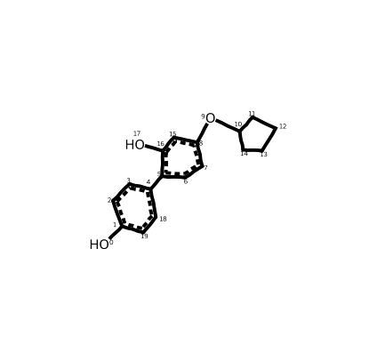 Oc1[c]cc(-c2ccc(OC3CCCC3)cc2O)cc1